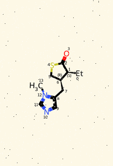 CC[C@@H]1C(=O)SC[C@@H]1Cc1cncn1C